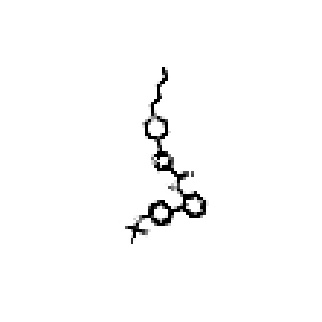 CCCCCN1CCC(c2nc(C(=O)Nc3ccccc3-c3ccc(OC(F)(F)F)cc3)cs2)CC1